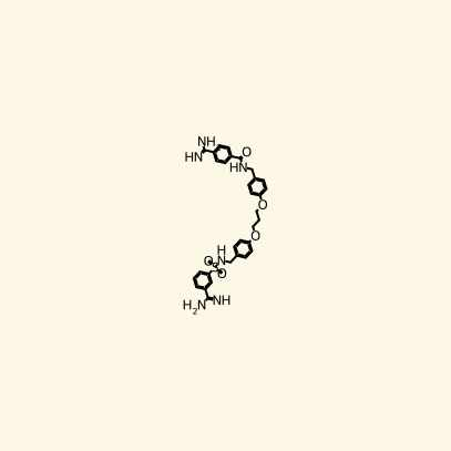 N=C(N)c1ccc(C(=O)NCc2ccc(OCCCOc3ccc(CNS(=O)(=O)c4cccc(C(=N)N)c4)cc3)cc2)cc1